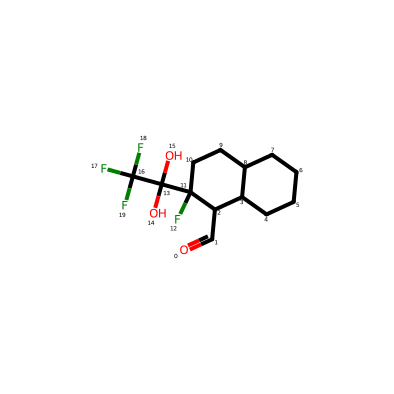 O=CC1C2CCCCC2CCC1(F)C(O)(O)C(F)(F)F